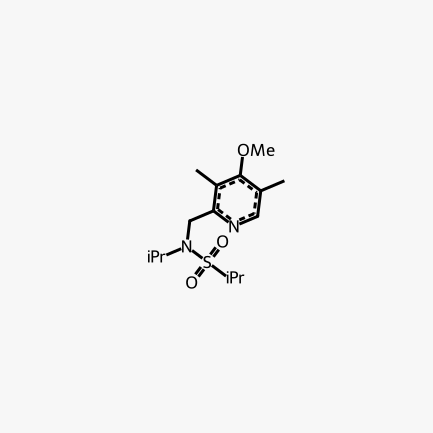 COc1c(C)cnc(CN(C(C)C)S(=O)(=O)C(C)C)c1C